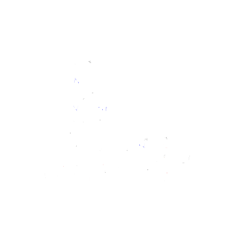 COC(=O)c1cc2nc(-c3ccccn3)[nH]c2cc1Oc1ccc(S(C)(=O)=O)nc1